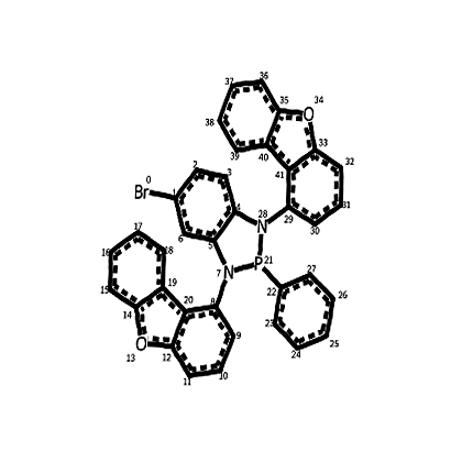 Brc1ccc2c(c1)N(c1cccc3oc4ccccc4c13)P(c1ccccc1)N2c1cccc2oc3ccccc3c12